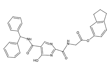 O=C(CNC(=O)c1ncc(C(=O)NC(c2ccccc2)c2ccccc2)c(O)n1)Oc1ccc2c(c1)CCC2